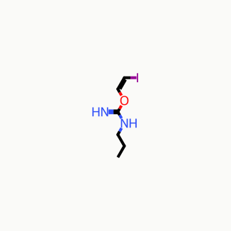 CCCNC(=N)O/C=C\I